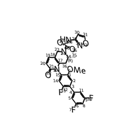 COc1cc(-c2cc(F)cc(F)c2)c(F)cc1-n1c2c(ccc1=O)CN(S(=O)(=O)Nc1ccon1)[C@H](C)C2